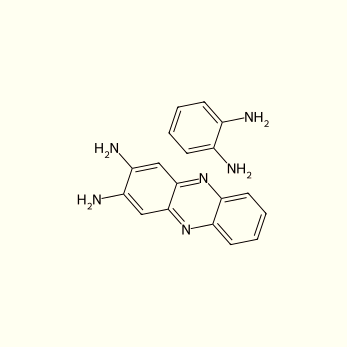 Nc1cc2nc3ccccc3nc2cc1N.Nc1ccccc1N